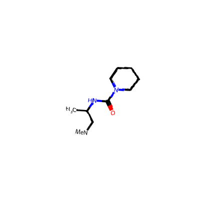 CNCC(C)NC(=O)N1CCCCC1